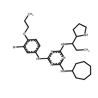 CCCOc1ccc(Nc2nc(NC3CCCCCC3)nc(NC(CC)C3CCCN3)n2)cc1Br